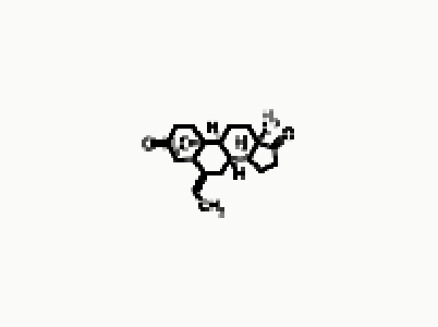 CC=C1C[C@@H]2[C@H](CC[C@]3(C)C(=O)CC[C@@H]23)[C@@]2(C)CCC(=O)CC12